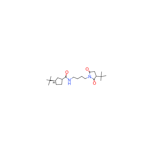 CC(C)(C)C1CC(=O)N(CCCCNC(=O)C2CC[C@@H](C(C)(C)C)C2)C1=O